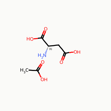 CC(=O)O.N[C@@H](CC(=O)O)C(=O)O